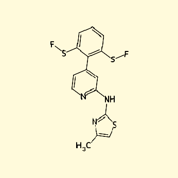 Cc1csc(Nc2cc(-c3c(SF)cccc3SF)ccn2)n1